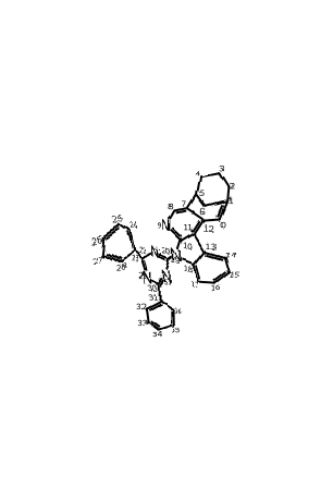 C1=C2CCCC(C2)c2cnc3c(c21)c1ccccc1n3-c1nc(-c2ccccc2)nc(-c2ccccc2)n1